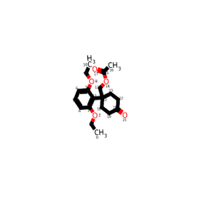 CCOc1cccc(OCC)c1C1(COC(C)=O)CCC(=O)CC1